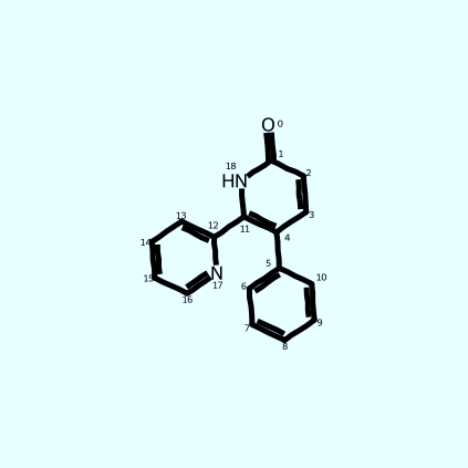 O=c1ccc(-c2ccccc2)c(-c2ccccn2)[nH]1